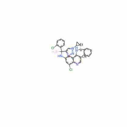 BC(Nc1cc(Cl)c2ncc(C#N)c(N[C@H](CC)c3ccccc3)c2c1)(c1cn(C2CC2)nn1)c1ccccc1Cl